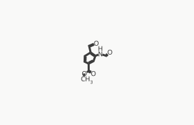 COC(=O)c1ccc(C=O)c(NC=O)c1